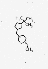 CCN1CCN(CC2CCC(C(C)(C)C)C2)CC1